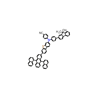 CC1(C)c2ccccc2-c2ccc(-c3ccc(N(c4ccc(C#N)cc4)c4ccc5c(c4)sc4cc(-c6ccc7c(-c8cccc9ccccc89)c8ccccc8c(-c8cccc9ccccc89)c7c6)ccc45)cc3)cc21